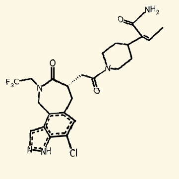 C/C=C(\C(N)=O)C1CCN(C(=O)C[C@@H]2Cc3cc(Cl)c4[nH]ncc4c3CN(CC(F)(F)F)C2=O)CC1